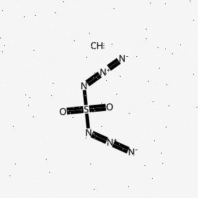 [CH].[N-]=[N+]=NS(=O)(=O)N=[N+]=[N-]